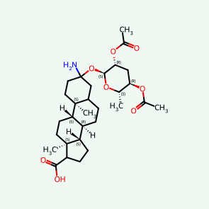 CC(=O)O[C@@H]1C[C@@H](OC(C)=O)[C@H](C)O[C@H]1OC1(N)CC[C@@]2(C)C(CC[C@@H]3[C@@H]2CC[C@]2(C)C(C(=O)O)CC[C@@H]32)C1